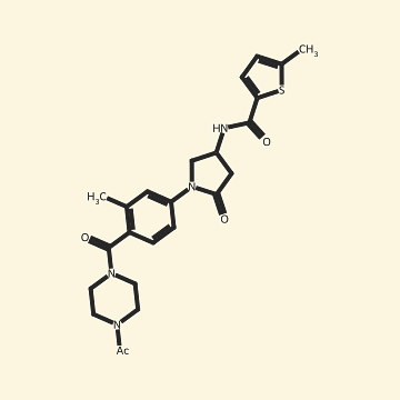 CC(=O)N1CCN(C(=O)c2ccc(N3CC(NC(=O)c4ccc(C)s4)CC3=O)cc2C)CC1